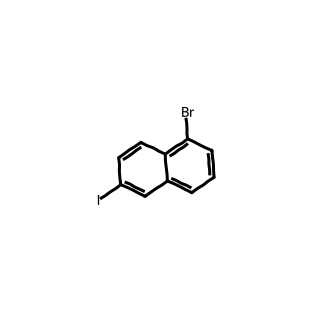 Brc1cccc2cc(I)ccc12